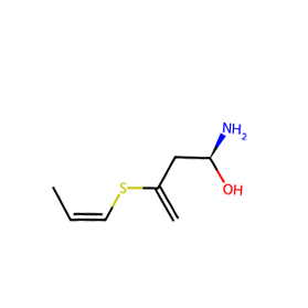 C=C(C[C@@H](N)O)S/C=C\C